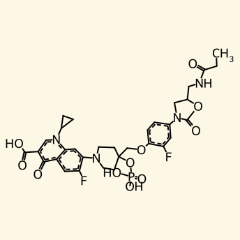 CCC(=O)NCC1CN(c2ccc(OCC3(OP(=O)(O)O)CCN(c4cc5c(cc4F)c(=O)c(C(=O)O)cn5C4CC4)CC3)c(F)c2)C(=O)O1